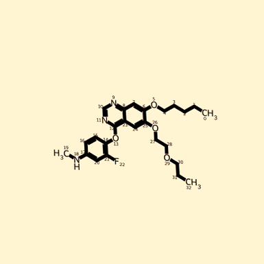 CCCCCOc1cc2ncnc(Oc3ccc(NC)cc3F)c2cc1OCCOCCC